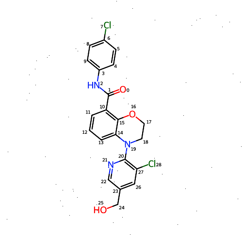 O=C(Nc1ccc(Cl)cc1)c1cccc2c1OCCN2c1ncc(CO)cc1Cl